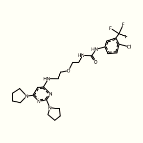 O=C(NCCOCCNc1cc(N2CCCC2)nc(N2CCCC2)n1)Nc1ccc(Cl)c(C(F)(F)F)c1